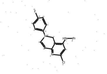 CC(C)Nc1cc(Cl)nc2c1CN(c1ccc(F)cc1)C=C2